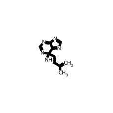 C=C(C)CCC1(N)N=CN=C2N=CN=C21